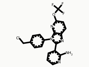 Nc1ncccc1-c1nc2ccc(OC(F)(F)F)nc2n1-c1ccc(CCl)cc1